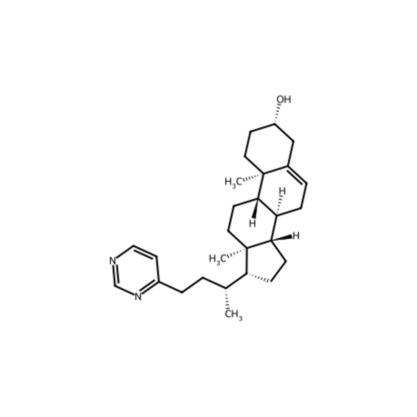 C[C@H](CCc1ccncn1)[C@H]1CC[C@H]2[C@@H]3CC=C4C[C@@H](O)CC[C@]4(C)[C@H]3CC[C@]12C